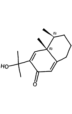 C[C@H]1CCCC2=CC(=O)C(C(C)(C)O)=C[C@@]21C